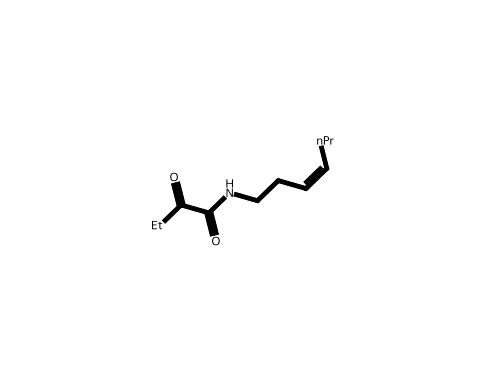 CCC/C=C\CCNC(=O)C(=O)CC